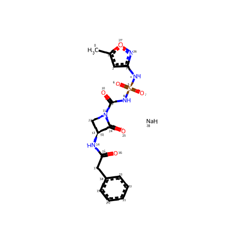 Cc1cc(NS(=O)(=O)NC(=O)N2C[C@H](NC(=O)Cc3ccccc3)C2=O)no1.[NaH]